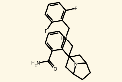 NC(=O)c1ccccc1C1CC2CCC(C1)N2CCNCc1c(F)cccc1F